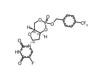 O=c1[nH]c(=O)n([C@H]2C[C@@H]3OP(=O)(OCc4ccc(C(F)(F)F)cc4)OC[C@H]3O2)cc1F